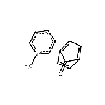 C[n+]1ccccc1.O=C1C2=CC=C1C=C2